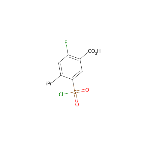 CC(C)c1cc(F)c(C(=O)O)cc1S(=O)(=O)Cl